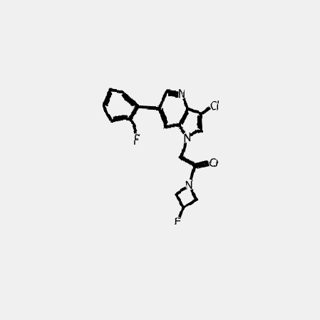 O=C(Cn1cc(Cl)c2ncc(-c3ccccc3F)cc21)N1CC(F)C1